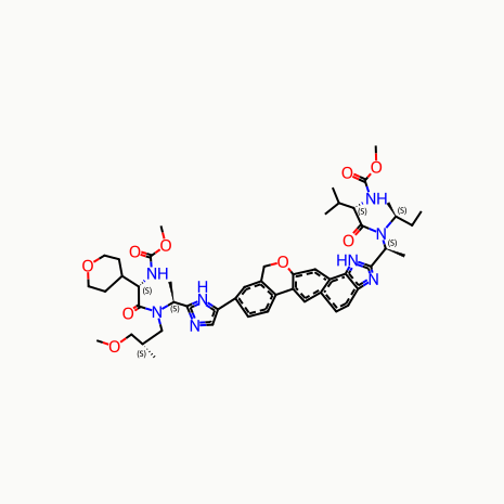 CC[C@H](C)N(C(=O)[C@@H](NC(=O)OC)C(C)C)[C@@H](C)c1nc2ccc3cc4c(cc3c2[nH]1)OCc1cc(-c2cnc([C@H](C)N(C[C@H](C)COC)C(=O)[C@@H](NC(=O)OC)C3CCOCC3)[nH]2)ccc1-4